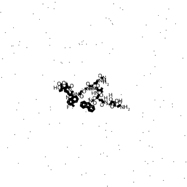 CC[C@@]1(O)C(=O)OCc2c1cc1n(c2=O)Cc2c-1nc1cc(F)c(C)c3c1c2[C@@H](NC(=O)COCNC(=O)[C@H](CCCNC(N)=O)NC(=O)[C@@H](NC(=O)[C@H](CCC(=O)NC[C@H]1O[C@@H](CC(N)=O)[C@H](O)[C@@H]1O)OC(=O)N(C)C1c2ccccc2-c2ccccc21)C(C)C)CC3